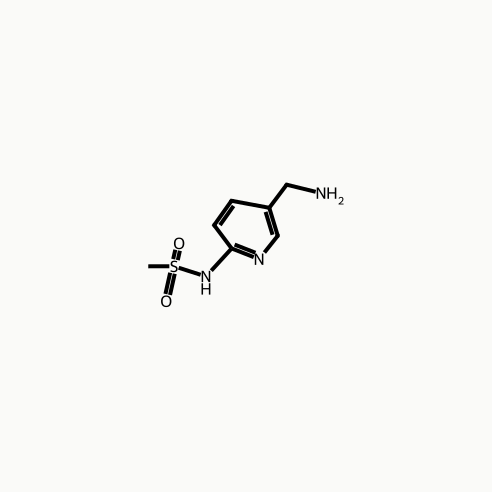 CS(=O)(=O)Nc1ccc(CN)cn1